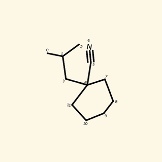 CC(C)CC1(C#N)CCCCC1